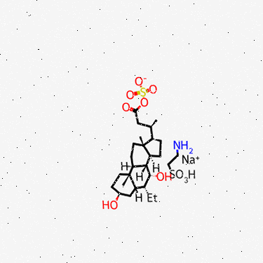 CC[C@H]1[C@@H](O)[C@@H]2[C@H](CC[C@]3(C)[C@@H]([C@H](C)CC(=O)OS(=O)(=O)[O-])CC[C@@H]23)[C@@]2(C)CC[C@H](O)C[C@@H]12.NCCS(=O)(=O)O.[Na+]